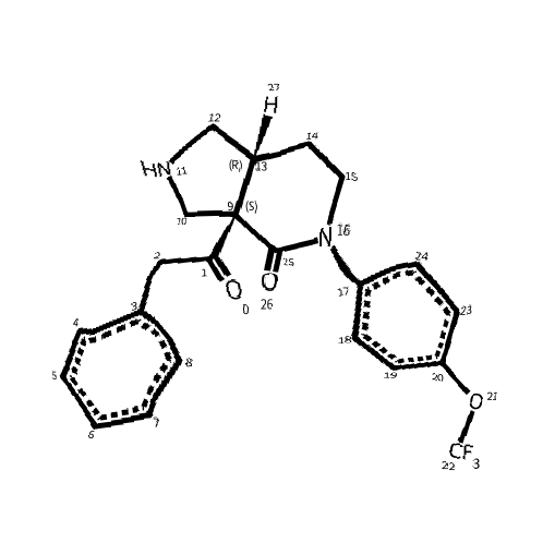 O=C(Cc1ccccc1)[C@@]12CNC[C@@H]1CCN(c1ccc(OC(F)(F)F)cc1)C2=O